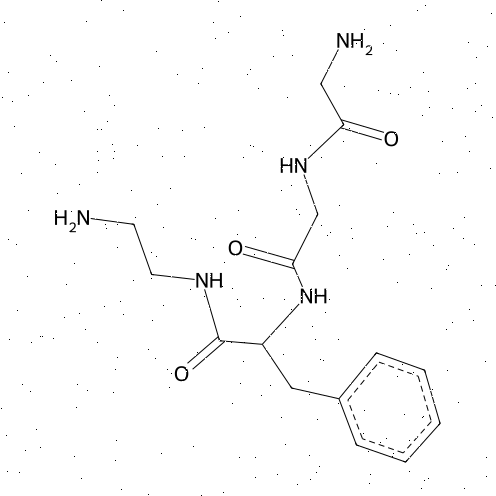 NCCNC(=O)C(Cc1ccccc1)NC(=O)CNC(=O)CN